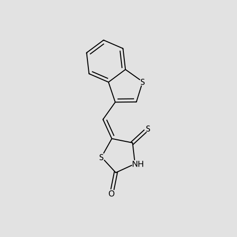 O=C1NC(=S)C(=Cc2csc3ccccc23)S1